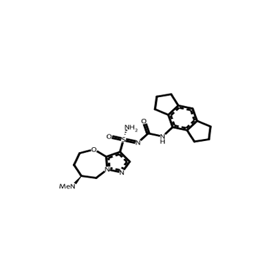 CN[C@H]1CCOc2c([S@@](N)(=O)=NC(=O)Nc3c4c(cc5c3CCC5)CCC4)cnn2C1